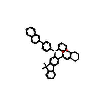 CC1(C)c2ccccc2-c2cc(-c3ccc4c(c3)CCCC4)c(N(c3ccccc3)c3ccc(-c4ccc5ccccc5c4)cc3)cc21